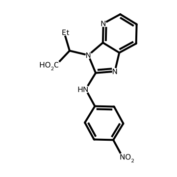 CCC(C(=O)O)n1c(Nc2ccc([N+](=O)[O-])cc2)nc2cccnc21